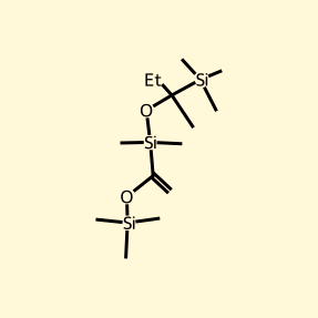 C=C(O[Si](C)(C)C)[Si](C)(C)OC(C)(CC)[Si](C)(C)C